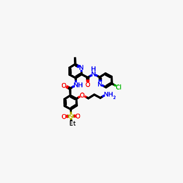 CCS(=O)(=O)c1ccc(C(=O)Nc2ccc(C)nc2C(=O)Nc2ccc(Cl)cn2)c(OCCCN)c1